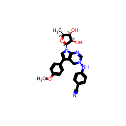 COc1ccc(-c2cn([C@@H]3O[C@H](C)[C@@H](O)[C@H]3O)c3c2CN(Nc2ccc(C#N)cc2)C=N3)cc1